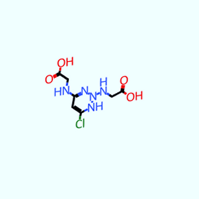 O=C(O)CNC1=NN(NCC(=O)O)NC(Cl)=C1